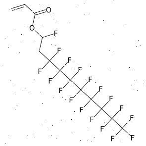 C=CC(=O)OC(F)CC(F)(F)C(F)(F)C(F)(F)C(F)(F)C(F)(F)C(F)(F)C(F)(F)C(F)(F)F